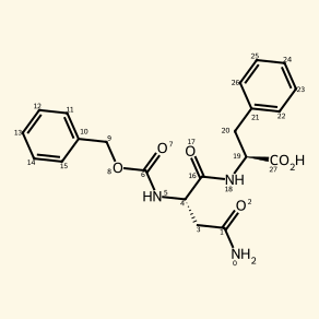 NC(=O)C[C@H](NC(=O)OCc1ccccc1)C(=O)N[C@@H](Cc1ccccc1)C(=O)O